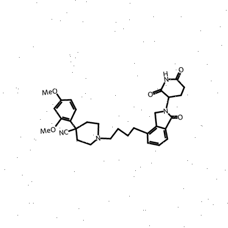 COc1ccc(C2(C#N)CCN(CCCCc3cccc4c3CN(C3CCC(=O)NC3=O)C4=O)CC2)c(OC)c1